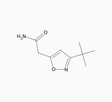 CC(C)(C)c1cc(CC(N)=O)on1